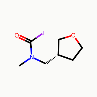 CN(C[C@H]1CCOC1)C(=O)I